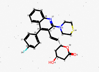 O=C1C[C@@H](O)C[C@H](/C=C/c2c(N3CCSCC3)nc3ccccc3c2-c2ccc(F)cc2)O1